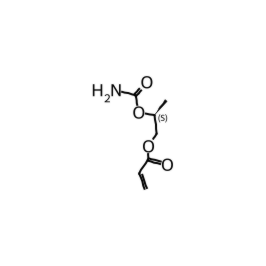 C=CC(=O)OC[C@H](C)OC(N)=O